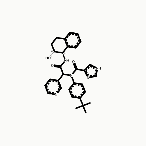 CC(C)(C)c1ccc(N(C(=O)c2c[nH]cn2)C(C(=O)N[C@@H]2c3ccccc3CC[C@H]2O)c2cccnc2)cc1